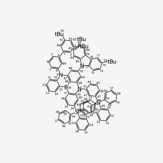 CC(C)(C)c1cc(-c2cccc(N3c4ccccc4B4c5ccc([Si](c6ccccc6)(c6ccccc6)c6ccccc6)cc5N(c5cccc([Si](c6ccccc6)(c6ccccc6)c6ccccc6)c5)c5cc(-n6c7ccc(C(C)(C)C)cc7c7cc(C(C)(C)C)ccc76)cc3c54)c2)cc(C(C)(C)C)c1